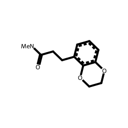 CNC(=O)CCc1cccc2c1OCCO2